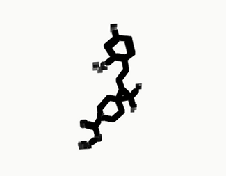 CC(C)(C)OC(=O)N1CCC2(CC1)C(CCc1ccc(F)cc1C(F)(F)F)C2(F)F